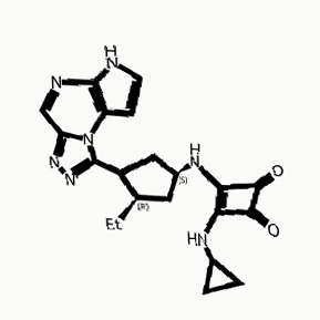 CC[C@@H]1C[C@H](Nc2c(NC3CC3)c(=O)c2=O)CC1c1nnc2cnc3[nH]ccc3n12